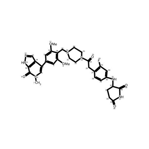 COc1cc(-c2cn(C)c(=O)c3[nH]ncc23)cc(OC)c1CN1CCN(C(=O)Cc2ccc(NC3CCC(=O)NC3=O)cc2F)CC1